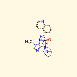 Cn1cnc2c(N3C4CCC3CN(CC(=O)Nc3cccc5ncccc35)C4)ncnc21